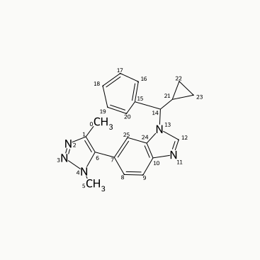 Cc1nnn(C)c1-c1ccc2ncn(C(c3ccccc3)C3CC3)c2c1